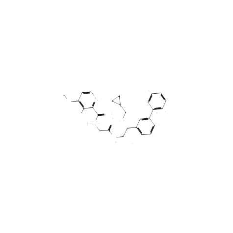 COc1ccnc(C(=O)N[C@@H](C)C(=O)O[C@@H](C)[C@H](OCC2CC2)c2cccc(-c3ccccc3)c2)c1O